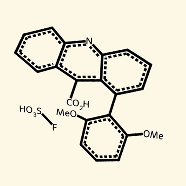 COc1cccc(OC)c1-c1cccc2nc3ccccc3c(C(=O)O)c12.O=S(=O)(O)F